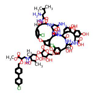 COC(=O)C(CNC1(C)CC(OC2C(Oc3c4cc5cc3Oc3ccc(cc3Cl)[C@@H](O)[C@@H]3NC(=O)C(NC(=O)[C@@H]5NC(=O)C(CC(N)=O)NC(=O)C(NC(=O)[C@H](N)CC(C)C)[C@H](O)c5ccc(c(Cl)c5)O4)c4ccc(O)c(c4)-c4c(O)cc(O)cc4[C@H](C(=O)O)NC3=O)OC(CO)C(O)C2O)OC(C)C1O)OCc1ccc(-c2ccc(Cl)cc2)cc1